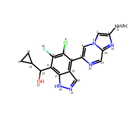 CC(=O)Nc1cn2cc(-c3c(Cl)c(F)c(C(O)C4CC4)c4[nH]ncc34)ncc2n1